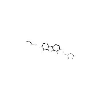 C/C=C/COc1ccc2c(sc3c(F)c(OCC4CCCC4)ccc32)c1F